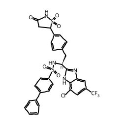 O=C1CC(c2ccc(C[C@H](NS(=O)(=O)c3ccc(-c4ccccc4)cc3)c3nc4cc(C(F)(F)F)cc(Cl)c4[nH]3)cc2)S(=O)(=O)N1